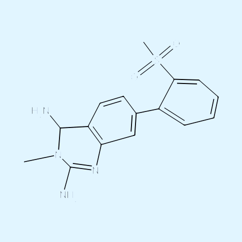 CN1C(N)=Nc2cc(-c3ccccc3S(C)(=O)=O)ccc2C1N